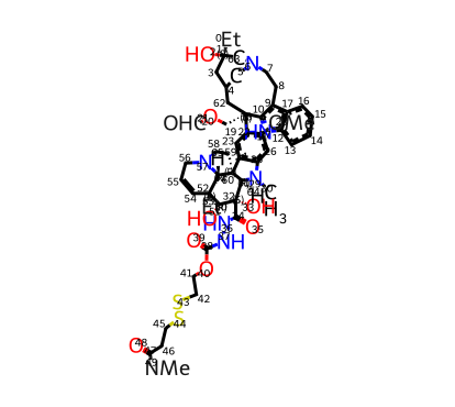 CC[C@]1(O)CC2CN(CCc3c([nH]c4ccccc34)[C@@](COC=O)(c3cc4c(cc3OC)N(C)[C@H]3[C@@](O)(C(=O)NNC(=O)OCCSSCCC(=O)NC)[C@H](O)[C@]5(CC)C=CCN6CC[C@]43[C@@H]65)C2)C1